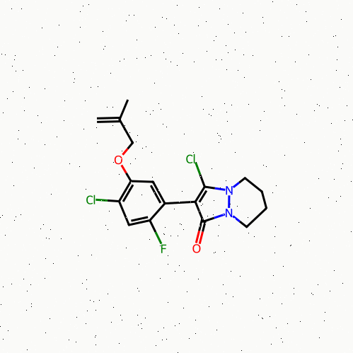 C=C(C)COc1cc(-c2c(Cl)n3n(c2=O)CCCC3)c(F)cc1Cl